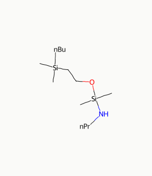 CCCC[Si](C)(C)CCO[Si](C)(C)NCCC